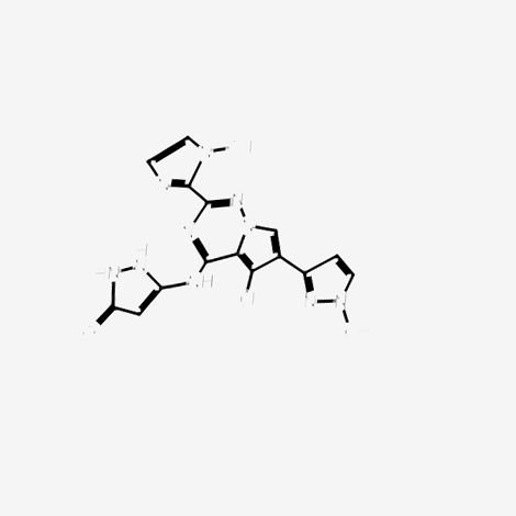 Cc1c(-c2ccn(C)n2)cn2nc(-c3nccn3C)nc(Nc3cc(=O)[nH][nH]3)c12